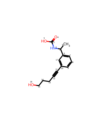 CC(NC(=O)O)c1cccc(C#CCCCO)c1